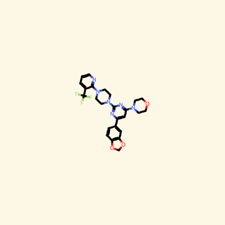 FC(F)(F)c1cccnc1N1CCN(c2nc(-c3ccc4c(c3)OCO4)cc(N3CCOCC3)n2)CC1